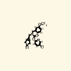 CCN1CC2C(C1)C2CN(Cc1cccc(OC(F)(F)F)c1)C(=O)Oc1ccc(Cl)cn1